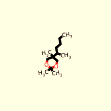 CCCCC(C)C1(C)COC(C)(C)OC1